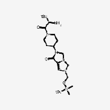 CC(C)(C)[C@@H](N)C(=O)N1CCC(N2CN3CN(CO[Si](C)(C)C(C)(C)C)C=C3C2=O)CC1